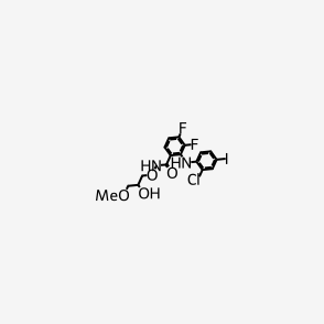 COCC(O)CONC(=O)c1ccc(F)c(F)c1Nc1ccc(I)cc1Cl